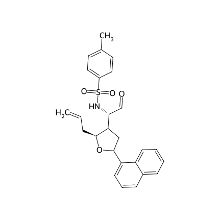 C=CC[C@@H]1OC(c2cccc3ccccc23)CC1[C@@H](C=O)NS(=O)(=O)c1ccc(C)cc1